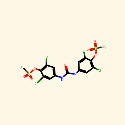 O=C(Nc1cc(Cl)c(OS(=O)(=O)C(F)(F)F)c(Cl)c1)Nc1cc(Cl)c(OS(=O)(=O)C(F)(F)F)c(Cl)c1